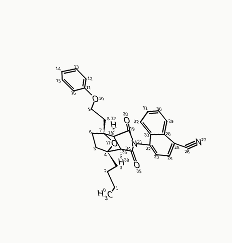 CCCC[C@@]12CC[C@@](CCOc3ccccc3)(O1)[C@H]1C(=O)N(c3ccc(C#N)c4ccccc34)C(=O)[C@H]12